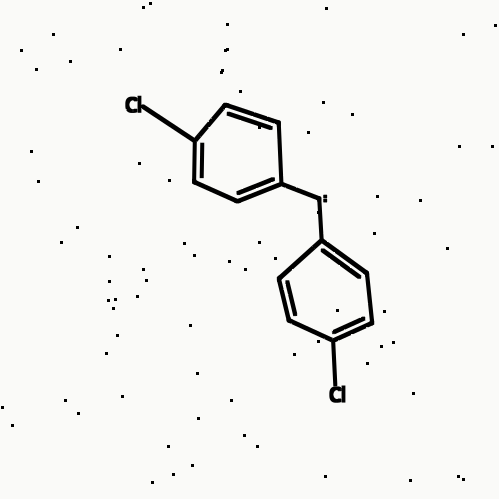 Clc1ccc([C]c2ccc(Cl)cc2)cc1